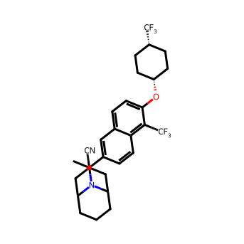 CC(c1ccc2c(C(F)(F)F)c(O[C@H]3CC[C@@H](C(F)(F)F)CC3)ccc2c1)N1C2CCCC1CC(C#N)C2